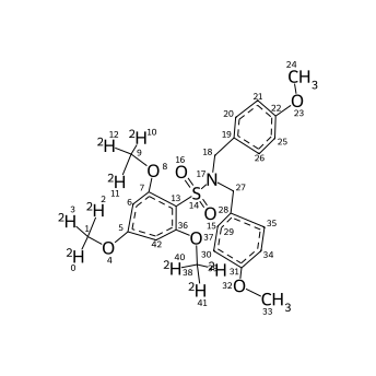 [2H]C([2H])([2H])Oc1cc(OC([2H])([2H])[2H])c(S(=O)(=O)N(Cc2ccc(OC)cc2)Cc2ccc(OC)cc2)c(OC([2H])([2H])[2H])c1